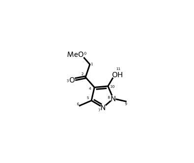 COCC(=O)c1c(C)nn(C)c1O